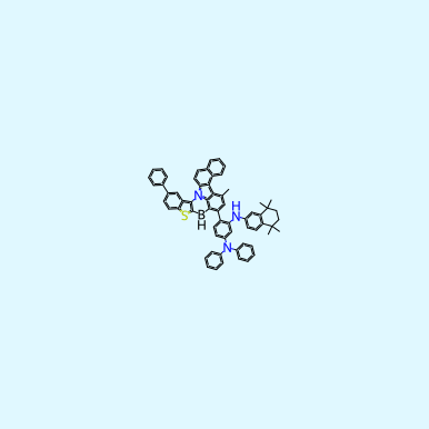 Cc1cc(-c2ccc(N(c3ccccc3)c3ccccc3)cc2Nc2ccc3c(c2)C(C)(C)CCC3(C)C)c2c3c1c1c4ccccc4ccc1n3-c1c(sc3ccc(-c4ccccc4)cc13)B2